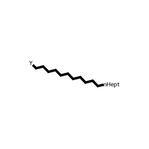 CCCCCCCCCCCCCCCCC[CH2][Y]